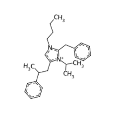 CCCCn1cc(CC(C)c2ccccc2)[n+](C(C)C)c1Cc1ccccc1